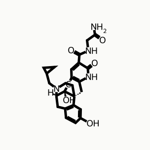 NC(=O)CNC(=O)c1cc2c([nH]c1=O)C[C@]13CCN(CC4CC4)[C@H](Cc4ccc(O)cc41)[C@]3(O)C2